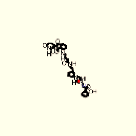 O=C(CCCNc1cccc2c1C(=O)N(C1CCC(=O)NC1=O)C2=O)NCCc1cccc(N2C[C@H]3C[C@@H]2CN3/C=C/C(=O)c2ccccc2O)c1